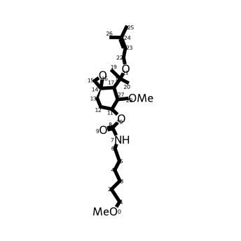 COCCCCCCNC(=O)OC1CC[C@]2(CO2)C(C(C)(C)OCC=C(C)C)C1OC